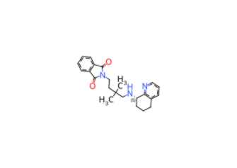 CC(C)(CCN1C(=O)c2ccccc2C1=O)CN[C@H]1CCCc2cccnc21